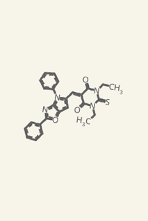 CCN1C(=O)C(=Cc2cc3oc(-c4ccccc4)nc3n2-c2ccccc2)C(=O)N(CC)C1=S